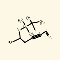 CC(CC#CC=O)O[Si](C)(C)C(C)(C)C